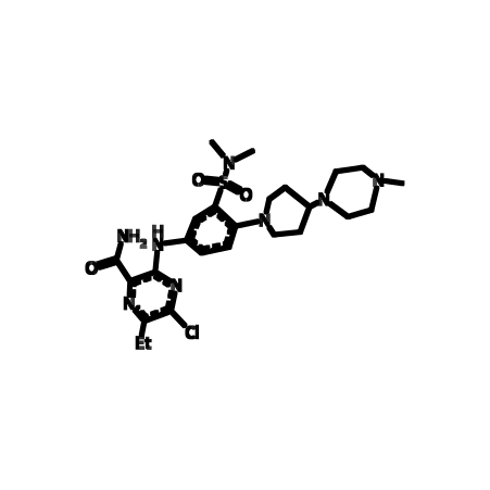 CCc1nc(C(N)=O)c(Nc2ccc(N3CCC(N4CCN(C)CC4)CC3)c(S(=O)(=O)N(C)C)c2)nc1Cl